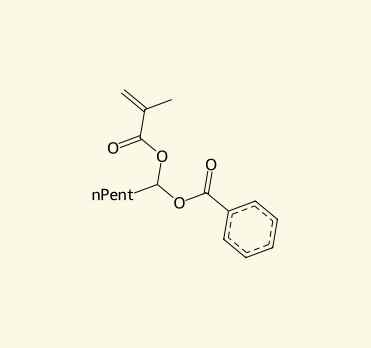 C=C(C)C(=O)OC(CCCCC)OC(=O)c1ccccc1